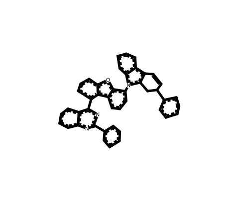 C1=CC(c2ccccc2)Cc2c1c1ccccc1n2-c1cccc2c1oc1cccc(-c3nc(-c4ccccc4)nc4ccccc34)c12